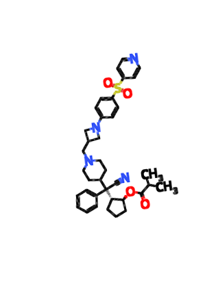 CC(C)C(=O)O[C@H]1CCC[C@@H]1C(C#N)(c1ccccc1)C1CCN(CC2CN(c3ccc(S(=O)(=O)c4ccncc4)cc3)C2)CC1